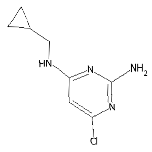 Nc1nc(Cl)cc(NCC2CC2)n1